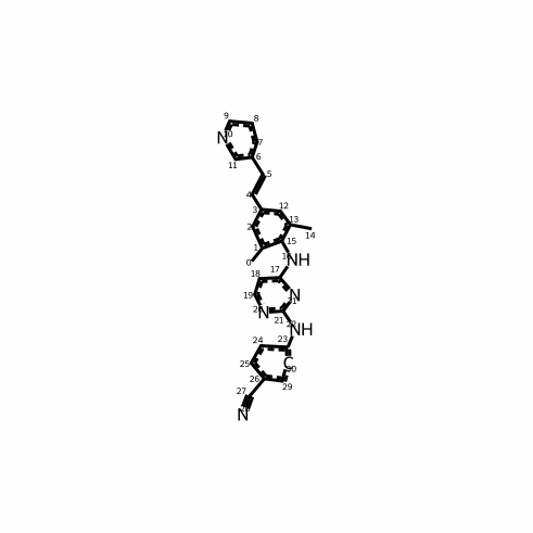 Cc1cc(/C=C/c2cccnc2)cc(C)c1Nc1ccnc(Nc2ccc(C#N)cc2)n1